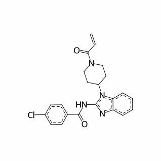 C=CC(=O)N1CCC(n2c(NC(=O)c3ccc(Cl)cc3)nc3ccccc32)CC1